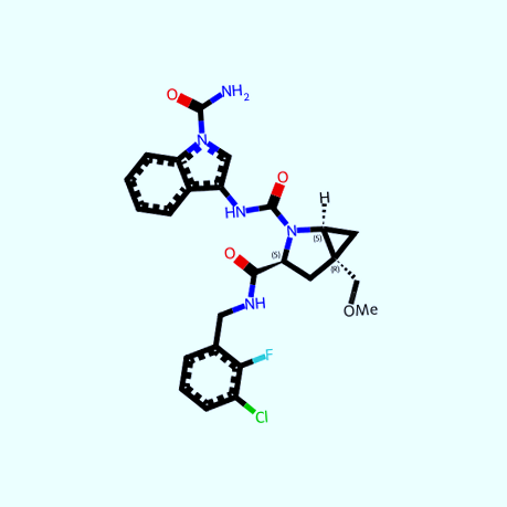 COC[C@@]12C[C@@H]1N(C(=O)Nc1cn(C(N)=O)c3ccccc13)[C@H](C(=O)NCc1cccc(Cl)c1F)C2